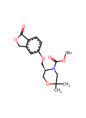 CC(C)(C)OC(=O)N1CC(C)(C)OC[C@H]1COc1ccc2c(c1)COC2=O